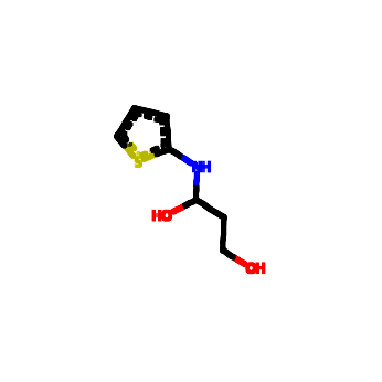 OCCC(O)Nc1cccs1